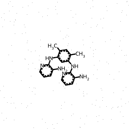 Cc1cc(C)c(Nc2ncccc2N)cc1Nc1ncccc1N